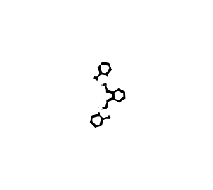 O=c1oc(-c2[nH]c(-c3nc4ccccc4c(=O)o3)c3ccccc23)nc2ccccc12